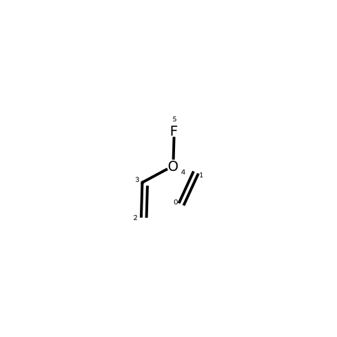 C=C.C=COF